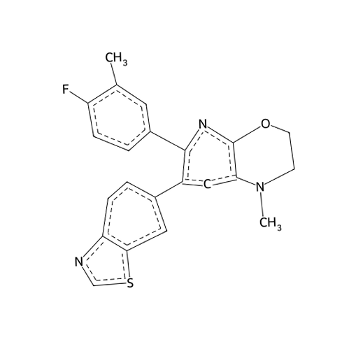 Cc1cc(-c2nc3c(cc2-c2ccc4ncsc4c2)N(C)CCO3)ccc1F